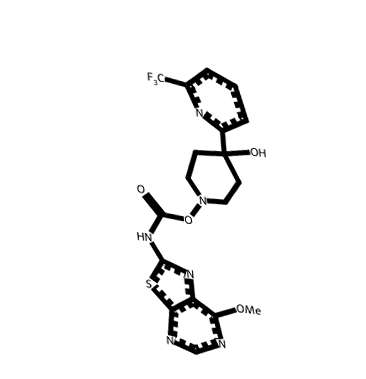 COc1ncnc2sc(NC(=O)ON3CCC(O)(c4cccc(C(F)(F)F)n4)CC3)nc12